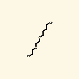 OCCCCOCCOCCO